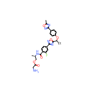 CCC(Oc1ccc(-c2noc(C)n2)cc1)c1nc(-c2ccc(C(=O)N[C@H](C)COC(=O)CN)c(F)c2)no1